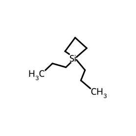 CCC[Si]1(CCC)CCC1